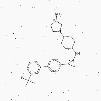 N[C@@H]1CCN(C2CCC(NC3CC3c3ccc(-c4cccc(C(F)(F)F)c4)cc3)CC2)C1